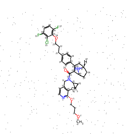 COCCCOc1nccc(CN(C(=O)C2=C(c3ccc(CCCOc4c(F)ccc(F)c4Cl)cc3)C[C@@H]3CCC2N3)C2CC2)c1C